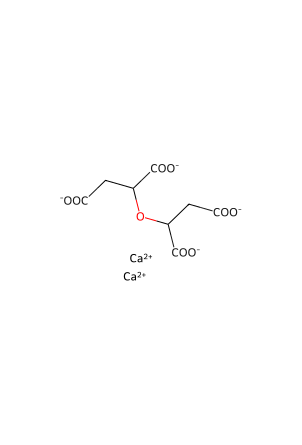 O=C([O-])CC(OC(CC(=O)[O-])C(=O)[O-])C(=O)[O-].[Ca+2].[Ca+2]